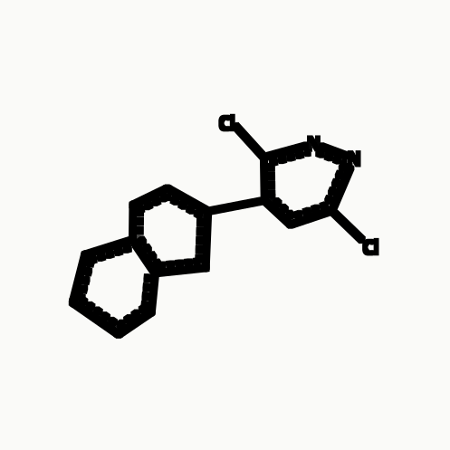 Clc1cc(-c2ccc3ccccc3c2)c(Cl)nn1